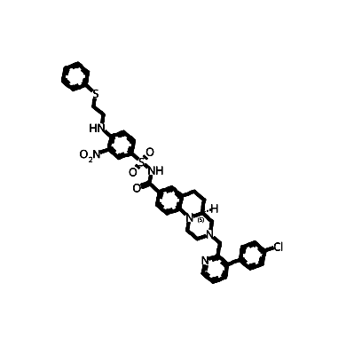 O=C(NS(=O)(=O)c1ccc(NCCSc2ccccc2)c([N+](=O)[O-])c1)c1ccc2c(c1)CC[C@H]1CN(Cc3ncccc3-c3ccc(Cl)cc3)CCN21